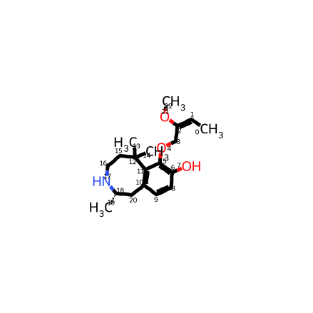 C/C=C(\COc1c(O)ccc2c1C(C)(C)CCN[C@@H](C)C2)OC